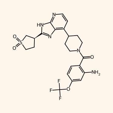 Nc1cc(OC(F)(F)F)ccc1C(=O)N1CCC(c2ccnc3[nH]c([C@H]4CCS(=O)(=O)C4)nc23)CC1